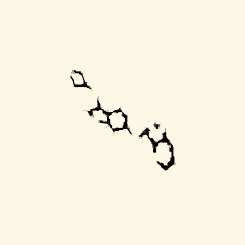 c1cnc2c(Nc3ccc4c(OC5COC5)coc4c3)n[nH]c2c1